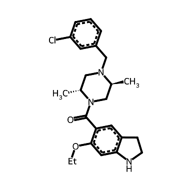 CCOc1cc2c(cc1C(=O)N1C[C@H](C)N(Cc3cccc(Cl)c3)C[C@H]1C)CCN2